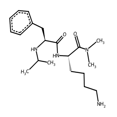 CC(C)N[C@@H](Cc1ccccc1)C(=O)N[C@@H](CCCCN)C(=O)N(C)C